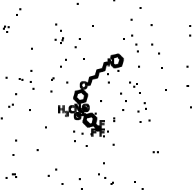 CN([C@H]1CC[C@H](OCCCCCCN2CC=CCC2)CC1)S(=O)(=O)c1ccc(C(F)(F)F)cc1